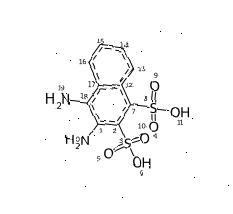 Nc1c(S(=O)(=O)O)c(S(=O)(=O)O)c2ccccc2c1N